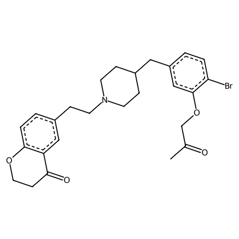 CC(=O)COc1cc(CC2CCN(CCc3ccc4c(c3)C(=O)CCO4)CC2)ccc1Br